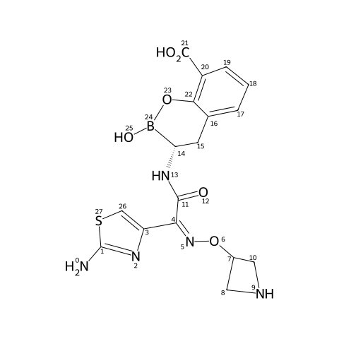 Nc1nc(/C(=N/OC2CNC2)C(=O)N[C@H]2Cc3cccc(C(=O)O)c3OB2O)cs1